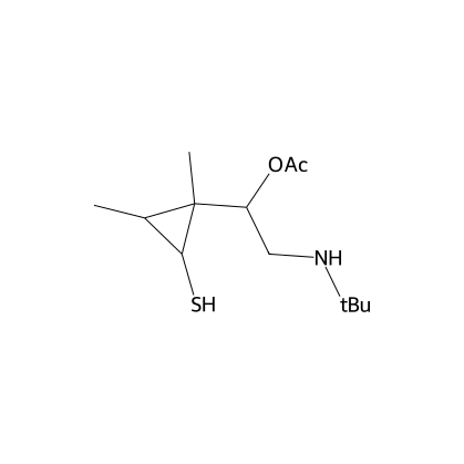 CC(=O)OC(CNC(C)(C)C)C1(C)C(C)C1S